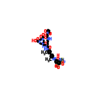 Cc1cc(-c2ccc(NC(=O)[C@@H](CCCCNC(=O)CCN3C(=O)C=CC3=O)NC(=O)CN3CCN(CC(=O)O)CCN(CC(=O)O)CC3)c(C)c2)ccc1/N=N/c1ccc2c([SH](=O)=O)cc([SH](=O)=O)c(N)c2c1O